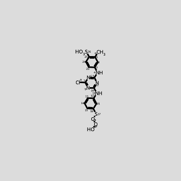 Cc1cc(Nc2nc(Cl)nc(Nc3cccc(SOOO)c3)n2)ccc1S(=O)(=O)O